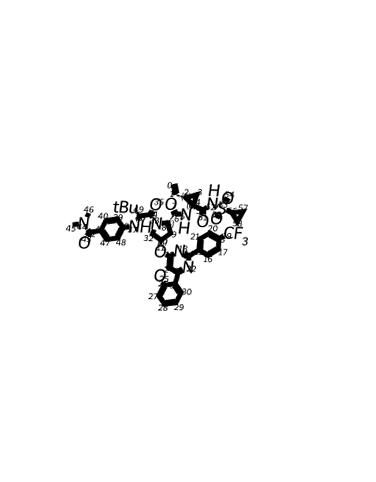 C=C[C@@H]1C[C@]1(NC(=O)[C@@H]1C[C@@H](Oc2nc(-c3ccc(C(F)(F)F)cc3)nc3c2oc2ccccc23)CN1C(=O)[C@@H](Nc1ccc(C(=O)N(C)C)cc1)C(C)(C)C)C(=O)NS(=O)(=O)C1CC1